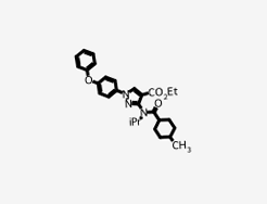 CCOC(=O)c1cn(-c2ccc(Oc3ccccc3)cc2)nc1N(C(=O)C1CCC(C)CC1)C(C)C